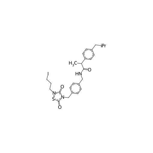 CC(C)Cc1ccc(C(C)C(=O)NCc2ccc(Cn3c(=O)sn(CCCI)c3=O)cc2)cc1